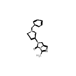 Cc1ncc2n1C(=O)N(C1CCN(Cc3ccccc3)C1)C2